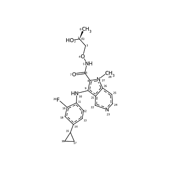 C[C@H](O)CONC(=O)c1c(Nc2ccc(C3CC3)cc2F)c2cnccc2n1C